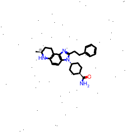 C[C@H]1CCc2c(ccc3c2nc(CCc2ccccc2)n3[C@H]2CC[C@H](C(N)=O)CC2)N1